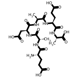 C[C@H](NC(=O)[C@H](CCC(=O)O)NC(=O)[C@H](C)NC(=O)[C@H](CC(=O)O)NC(=O)[C@H](C)NC(=O)[C@@H](N)CCC(=O)O)C(=O)O